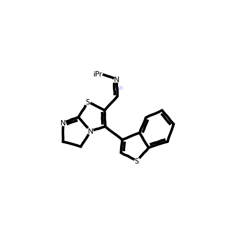 CC(C)/N=C\C1=C(c2csc3ccccc23)N2CCN=C2S1